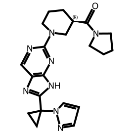 O=C([C@@H]1CCCN(c2ncc3nc(C4(n5cccn5)CC4)[nH]c3n2)C1)N1CCCC1